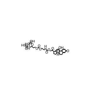 C[C@]12C[C@H](O)C3(F)[C@@H](CCC4=CC(=O)C=C[C@@]43C)C1CCC2C(=O)COC(=O)NCCOC(=O)OCCC(CON(O)O)ON(O)O